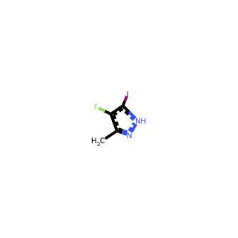 Cc1n[nH]c(I)c1F